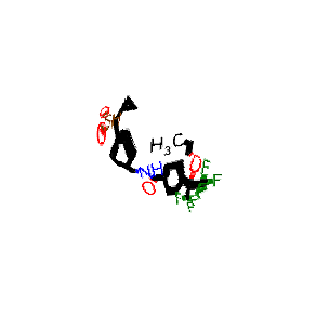 CCCOC(c1ccc(C(=O)NCc2ccc(C(C3CC3)[SH](=O)=O)cc2)cc1)(C(F)(F)F)C(F)(F)F